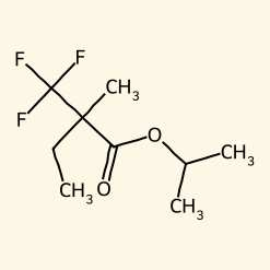 CCC(C)(C(=O)OC(C)C)C(F)(F)F